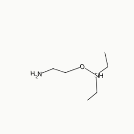 CC[SiH](CC)OCCN